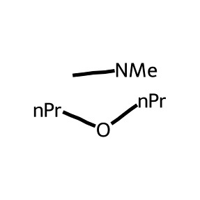 CCCOCCC.CNC